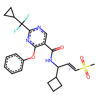 CS(=O)(=O)/C=C/C(NC(=O)c1cnc(C(F)(F)C2CC2)nc1Oc1ccccc1)C1CCC1